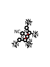 Cc1nc(C)nc(-c2ccc3c(c2)c2cc(-c4nc(C)nc(C)n4)ccc2n3-c2cc(C#N)cc(-n3c4ccc(-c5nc(C)nc(C)n5)cc4c4cc(-c5nc(C)nc(C)n5)ccc43)c2-c2cccc(C#N)c2)n1